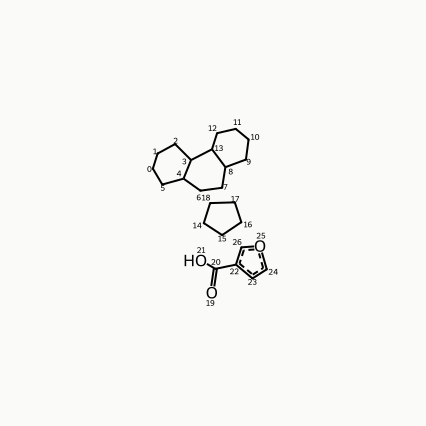 C1CCC2C(C1)CCC1CCCCC12.C1CCCC1.O=C(O)c1ccoc1